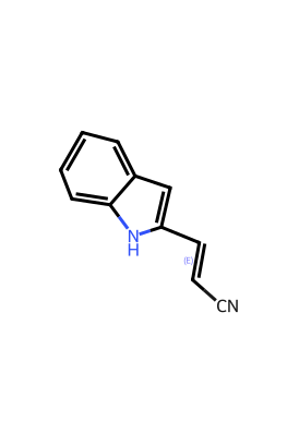 N#C/C=C/c1cc2ccccc2[nH]1